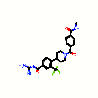 CNC(=O)c1ccc(C(=O)N2CCC(c3ccc(C(=O)NC(=N)N)cc3C(F)(F)F)CC2)cc1